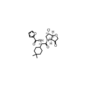 CC1(C)CCC([C@H](NC(=O)c2ccco2)C(=O)N2C[C@H](Cl)[C@H]3OCC(=O)[C@H]32)CC1